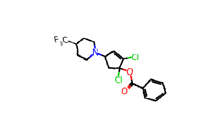 O=C(OC1(Cl)CC(N2CCC(C(F)(F)F)CC2)C=C1Cl)c1ccccc1